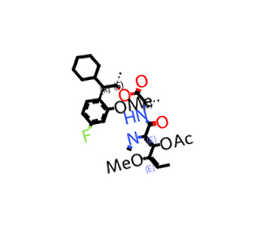 C=N/C(C(=O)N[C@@H](C)C(=O)O[C@@H](C)[C@@H](c1ccc(F)cc1OC)C1CCCCC1)=C(OC(C)=O)\C(=C/C)OC